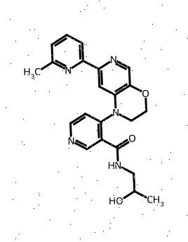 Cc1cccc(-c2cc3c(cn2)OCCN3c2ccncc2C(=O)NCC(C)O)n1